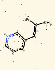 CCC/C(C)=C\c1cccnc1